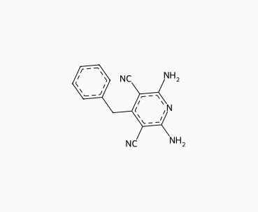 N#Cc1c(N)nc(N)c(C#N)c1Cc1ccccc1